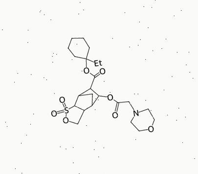 CCC1(OC(=O)C2C3CC(C4COS(=O)(=O)C43)C2OC(=O)CN2CCOCC2)CCCCC1